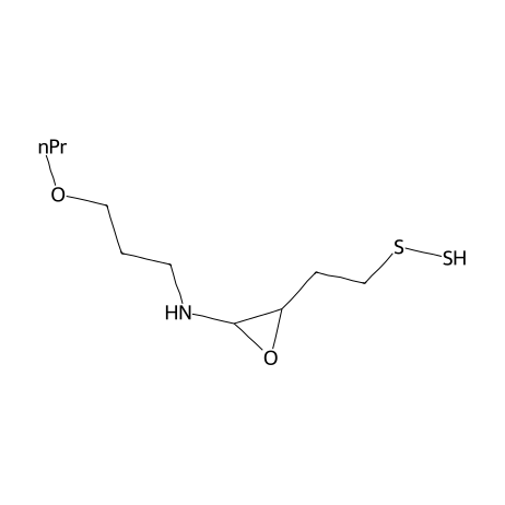 CCCOCCCNC1OC1CCSS